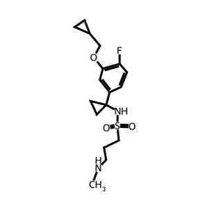 CNCCCS(=O)(=O)NC1(c2ccc(F)c(OCC3CC3)c2)CC1